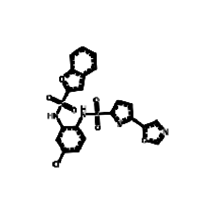 O=S(=O)(Nc1cc(Cl)ccc1NS(=O)(=O)c1ccc(-c2cnco2)s1)c1cc2ccccc2o1